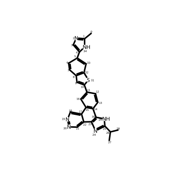 Cc1ncc(-c2ccc3cc(-c4ccc5c(c4)c4cnncc4c4nc(C(C)C)[nH]c54)sc3c2)[nH]1